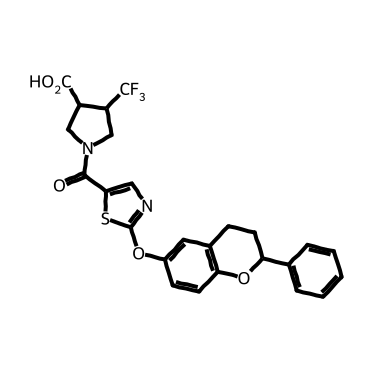 O=C(O)C1CN(C(=O)c2cnc(Oc3ccc4c(c3)CCC(c3ccccc3)O4)s2)CC1C(F)(F)F